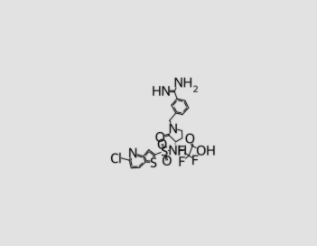 N=C(N)c1cccc(CN2CC[C@H](NS(=O)(=O)c3cc4nc(Cl)ccc4s3)C2=O)c1.O=C(O)C(F)(F)F